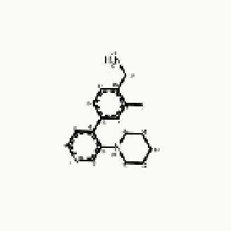 Cc1cc(-c2ccncc2N2C[CH]CCC2)ccc1CN